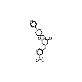 O=C1CN(Cc2cccc([N+](=O)[O-])c2)CC2OC3(CCN(c4ccncc4)CC3)CN12